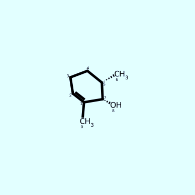 CC1=CCC[C@H](C)[C@@H]1O